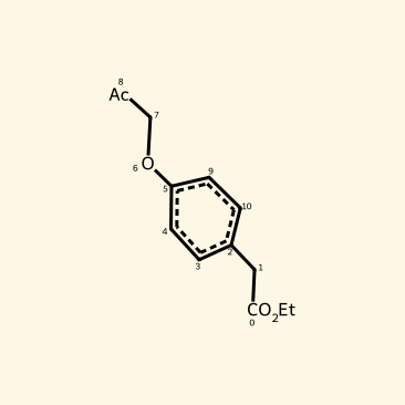 CCOC(=O)Cc1ccc(OCC(C)=O)cc1